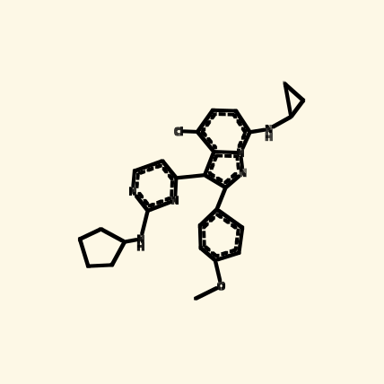 COc1ccc(-c2nn3c(NC4CC4)ccc(Cl)c3c2-c2ccnc(NC3CCCC3)n2)cc1